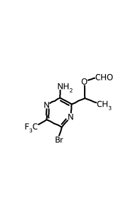 CC(OC=O)c1nc(Br)c(C(F)(F)F)nc1N